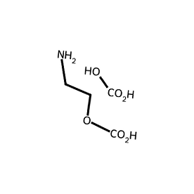 NCCOC(=O)O.O=C(O)O